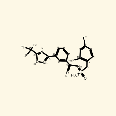 CS(=O)(Cc1ccc(F)cc1F)=NC(=O)c1cccc(-c2noc(C(F)(F)F)n2)c1